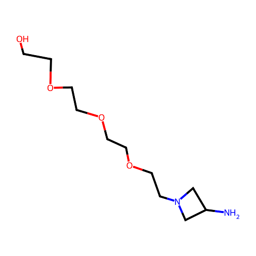 NC1CN(CCOCCOCCOCCO)C1